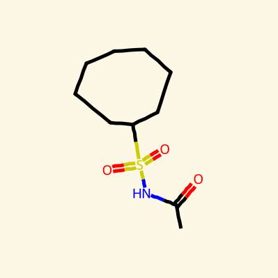 CC(=O)NS(=O)(=O)C1CCCCCCC1